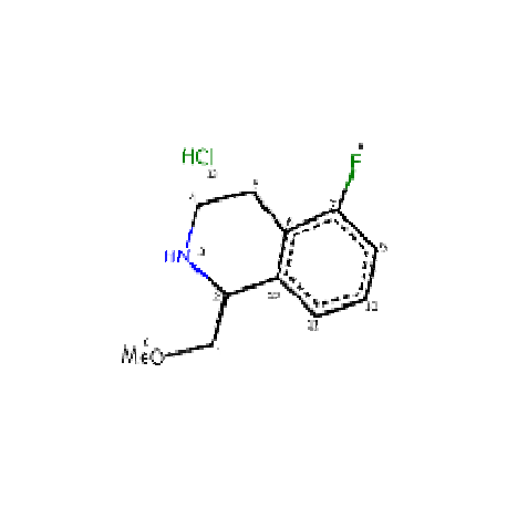 COCC1NCCc2c(F)cccc21.Cl